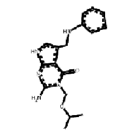 CC(C)OCn1c(N)nc2[nH]cc(CNc3ccccc3)c2c1=O